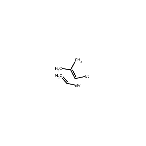 C=CCCC.CCC=C(C)C